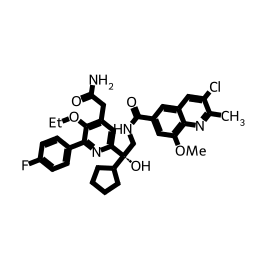 CCOc1c(CC(N)=O)cc([C@@](O)(CNC(=O)c2cc(OC)c3nc(C)c(Cl)cc3c2)C2CCCC2)nc1-c1ccc(F)cc1